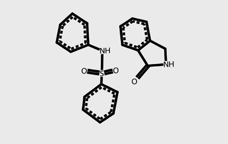 O=C1NCc2ccccc21.O=S(=O)(Nc1ccccc1)c1ccccc1